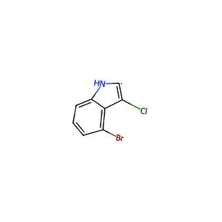 Clc1[c][nH]c2cccc(Br)c12